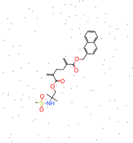 C=C(CCC(=C)C(=O)OCC(C)(C)NS(C)(=O)=O)C(=O)OCc1ccc2ccccc2c1